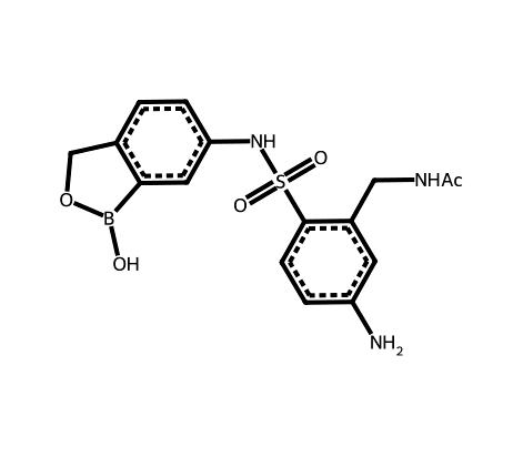 CC(=O)NCc1cc(N)ccc1S(=O)(=O)Nc1ccc2c(c1)B(O)OC2